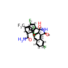 NC(=O)c1cc(C(F)(F)F)cc(F)c1-c1cc2ccc(F)cc2c2c1C(O)(c1cc(F)ccc1Cl)NC2=O